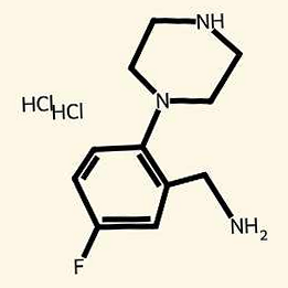 Cl.Cl.NCc1cc(F)ccc1N1CCNCC1